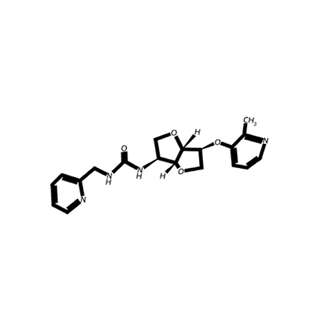 Cc1ncccc1O[C@H]1CO[C@H]2[C@@H]1OC[C@@H]2NC(=O)NCc1ccccn1